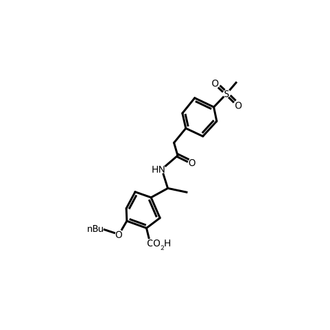 CCCCOc1ccc(C(C)NC(=O)Cc2ccc(S(C)(=O)=O)cc2)cc1C(=O)O